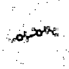 Cc1ccc(NC(=O)C#Cc2ccc(-c3nnc([C@H](O)CO)o3)cc2Cl)cc1